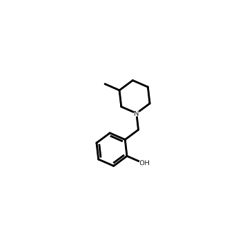 CC1CCCN(Cc2ccccc2O)C1